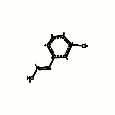 ON=Cc1c[c]cc(Cl)c1